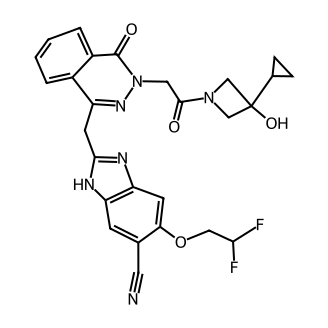 N#Cc1cc2[nH]c(Cc3nn(CC(=O)N4CC(O)(C5CC5)C4)c(=O)c4ccccc34)nc2cc1OCC(F)F